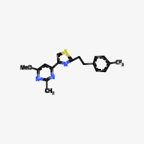 COc1cc(-c2csc(CCc3ccc(C(F)(F)F)cc3)n2)nc(C)n1